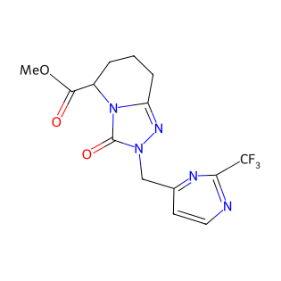 COC(=O)C1CCCc2nn(Cc3ccnc(C(F)(F)F)n3)c(=O)n21